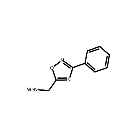 CNCc1nc(-c2cc[c]cc2)no1